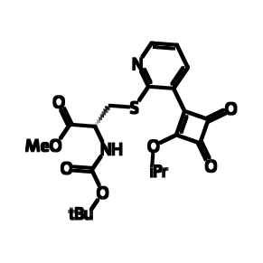 COC(=O)[C@H](CSc1ncccc1-c1c(OC(C)C)c(=O)c1=O)NC(=O)OC(C)(C)C